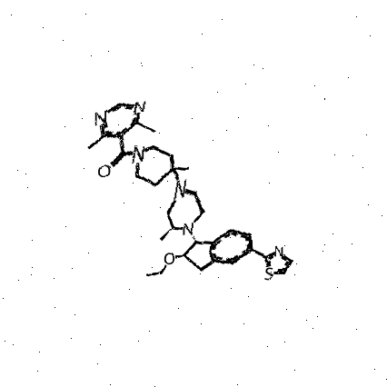 CCO[C@@H]1Cc2cc(-c3nccs3)ccc2[C@H]1N1CCN(C2(C)CCN(C(=O)c3c(C)ncnc3C)CC2)C[C@@H]1C